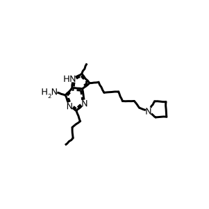 CCCCc1nc(N)c2[nH]c(C)c(CCCCCCN3CCCC3)c2n1